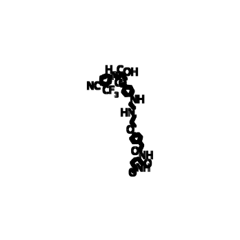 CC(O)(COc1ccc(NCCNCCCOc2ccc(CC(=O)NC3CCC(=O)NC3=O)cc2)cc1)C(=O)Nc1ccc(C#N)c(C(F)(F)F)c1